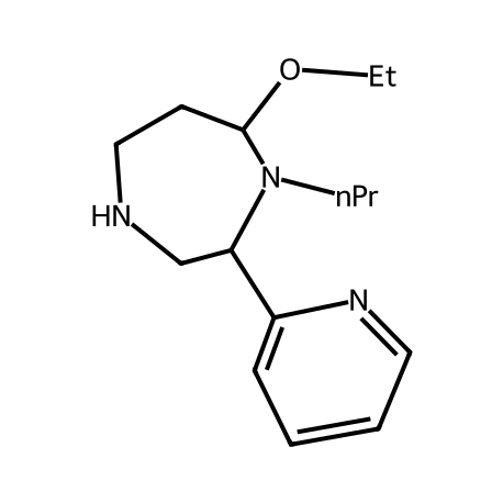 CCCN1C(OCC)CCNCC1c1ccccn1